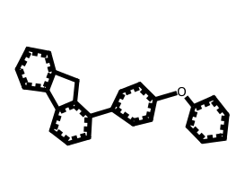 c1ccc(Oc2ccc(-c3cccc4c3Cc3ccccc3-4)cc2)cc1